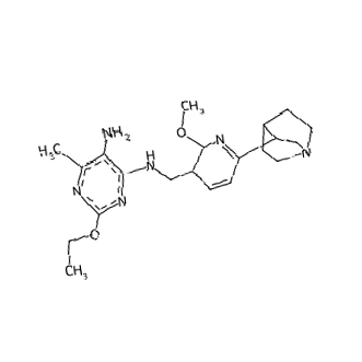 CCOc1nc(C)c(N)c(NCC2C=CC(C3CN4CCC3CC4)=NC2OC)n1